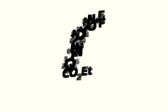 CCOC(=O)N1CCC(c2cn(Cc3ccc(-c4nnc(C(F)F)o4)cn3)nn2)CC1